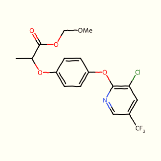 COCOC(=O)C(C)Oc1ccc(Oc2ncc(C(F)(F)F)cc2Cl)cc1